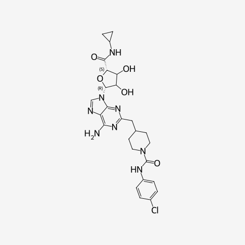 Nc1nc(CC2CCN(C(=O)Nc3ccc(Cl)cc3)CC2)nc2c1ncn2[C@@H]1O[C@H](C(=O)NC2CC2)C(O)C1O